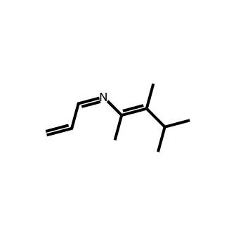 C=C/C=N\C(C)=C(/C)C(C)C